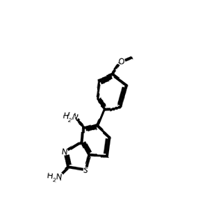 COc1ccc(-c2ccc3sc(N)nc3c2N)cc1